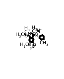 COc1cc2c(OC(C)C)nc(C)c(N=[N+]=[N-])c2cc1OC.Cc1ccccc1